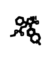 CCOC(=O)CCC1(C2CCCCC2)CNC(=O)N1c1ccc2c(c1)CCN(C)CC2